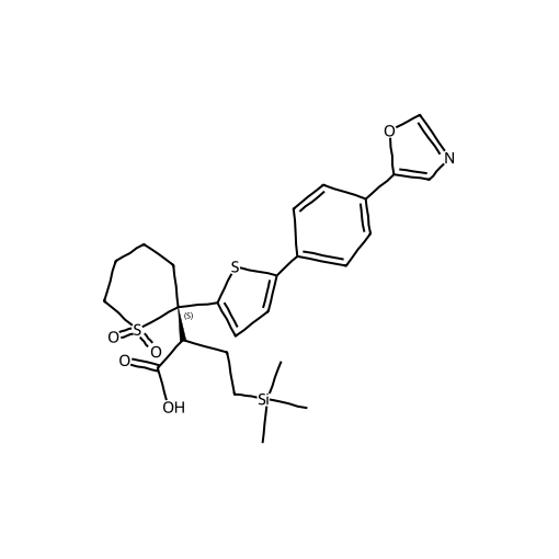 C[Si](C)(C)CCC(C(=O)O)[C@]1(c2ccc(-c3ccc(-c4cnco4)cc3)s2)CCCCS1(=O)=O